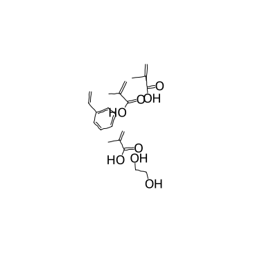 C=C(C)C(=O)O.C=C(C)C(=O)O.C=C(C)C(=O)O.C=Cc1ccccc1.OCCO